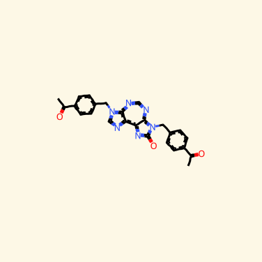 CC(=O)c1ccc(Cn2c3ncnc4c(ncn4Cc4ccc(C(C)=O)cc4)c-3nc2=O)cc1